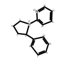 c1ccc(C2CCCN2c2ccccn2)cc1